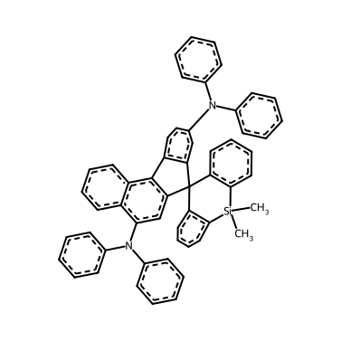 C[Si]1(C)c2ccccc2C2(c3cc(N(c4ccccc4)c4ccccc4)ccc3-c3c2cc(N(c2ccccc2)c2ccccc2)c2ccccc32)c2ccccc21